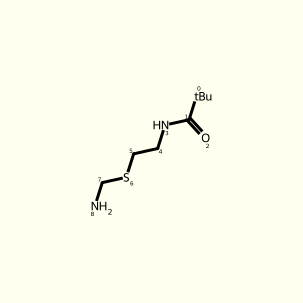 CC(C)(C)C(=O)NCCSCN